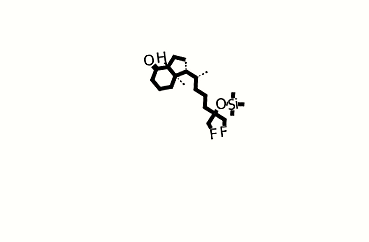 C[C@H](CCCC(CF)(CF)O[Si](C)(C)C)[C@H]1CC[C@H]2C(=O)CCC[C@]12C